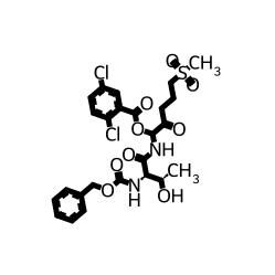 C[C@H](O)[C@H](NC(=O)OCc1ccccc1)C(=O)NC(OC(=O)c1cc(Cl)ccc1Cl)C(=O)CCCS(C)(=O)=O